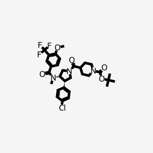 COc1ccc(C(=O)N(C)[C@@H]2CN(C(=O)C3CCN(C(=O)OC(C)(C)C)CC3)C[C@@H]2c2ccc(Cl)cc2)cc1C(F)(F)F